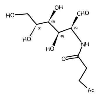 CC(=O)CCC(=O)N[C@H](C=O)[C@@H](O)[C@H](O)[C@H](O)CO